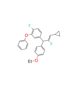 CCOc1ccc(C(C(F)=CC2CC2)c2ccc(F)c(Oc3ccccc3)c2)cc1